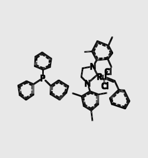 Cc1cc(C)c(N2CCN(c3c(C)cc(C)cc3C)[C]2=[Ru]([Cl])([Cl])=[CH]c2ccccc2)c(C)c1.c1ccc(P(c2ccccc2)c2ccccc2)cc1